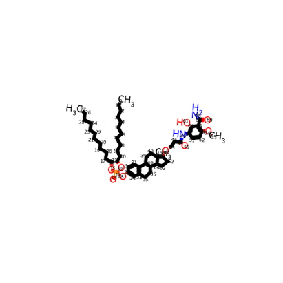 CCCCCCCCCCCCOP(=O)(OCCCCCCCCCCCC)Oc1ccc2c(c1)CCC1C2CCC2(C)C(OCCC(=O)Nc3ccc(OC)c(C(N)=O)c3O)CCC12